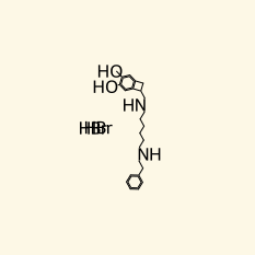 Br.Br.Oc1cc2c(cc1O)C(CNCCCCCCNCCc1ccccc1)C2